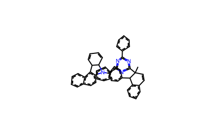 CC1(c2nc(-c3ccccc3)nc(-c3ccccc3)n2)C=Cc2ccccc2C1c1ccc(N2c3ccc4ccccc4c3C3C=CC=CC32)cc1